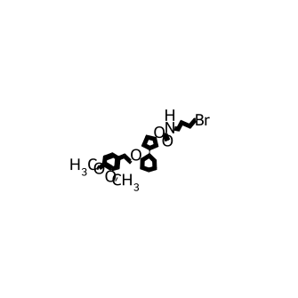 COc1ccc(CCO[C@@H]2CCCC[C@H]2C2CC[C@@H](OC(=O)NCCCCBr)C2)cc1OC